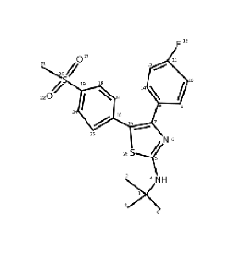 CC(C)(C)Nc1nc(-c2ccc(F)cc2)c(-c2ccc(S(C)(=O)=O)cc2)s1